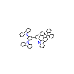 c1ccc(C2(c3ccccc3)c3ccccc3-c3c2ccc2c3c(-c3cccc(-c4cc(-n5c6ccccc6c6ccccc65)cc(-n5c6ccccc6c6ccccc65)c4)c3)nc3ccccc32)cc1